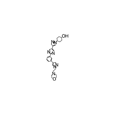 OC1CCC(n2cc(-c3cnc(-c4cccc(-c5cnn(CCN6CCOCC6)c5)c4)nc3)cn2)CC1